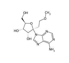 COCC[C@@]1(n2cnc3c(N)ncnc32)O[C@H](CO)[C@@H](O)[C@H]1O